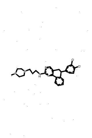 CN1CCN(CCCNc2ncc3c(n2)-c2ccccc2C(c2ccc(Cl)c(Cl)c2)C3)CC1